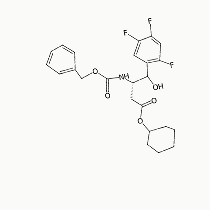 O=C(C[C@H](NC(=O)OCc1ccccc1)C(O)c1cc(F)c(F)cc1F)OC1CCCCC1